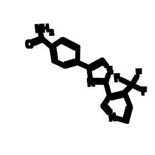 NC(=O)c1ccc(-c2csc(-c3cnccc3C(F)(F)F)n2)cc1